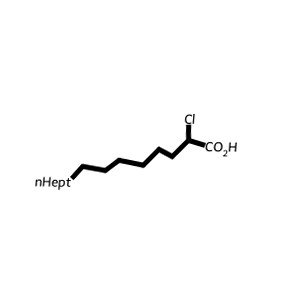 CCCCCCCCCCCCCC(Cl)C(=O)O